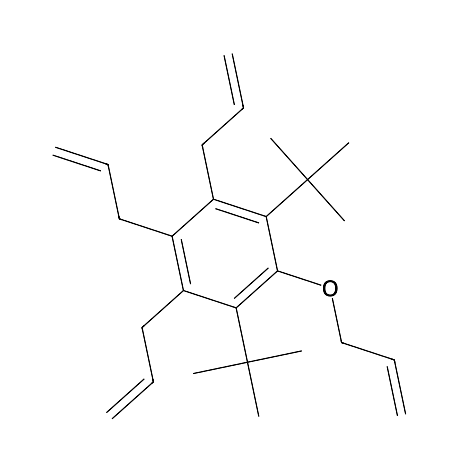 C=CCOc1c(C(C)(C)C)c(CC=C)c(CC=C)c(CC=C)c1C(C)(C)C